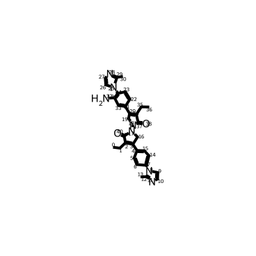 CCC1=C(c2ccc(-n3ccnc3C)cc2)CN(N2CC(c3ccc(-n4ccnc4C)c(N)c3)=C(CC)C2=O)C1=O